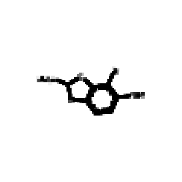 CCOC(=O)C1Oc2ccc(C=O)c(Br)c2O1